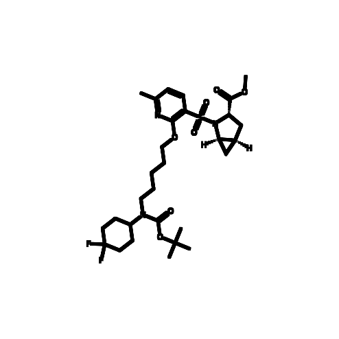 COC(=O)[C@@H]1C[C@H]2C[C@H]2N1S(=O)(=O)c1ccc(C)nc1OCCCCCN(C(=O)OC(C)(C)C)C1CCC(F)(F)CC1